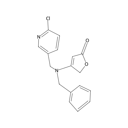 O=C1C=C(N(Cc2ccccc2)Cc2ccc(Cl)nc2)CO1